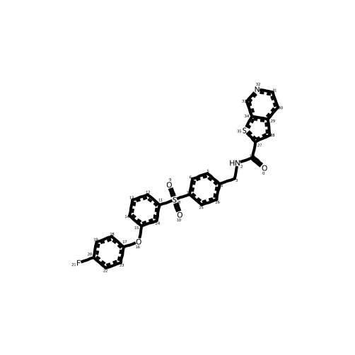 O=C(NCc1ccc(S(=O)(=O)c2cccc(Oc3ccc(F)cc3)c2)cc1)c1cc2ccncc2s1